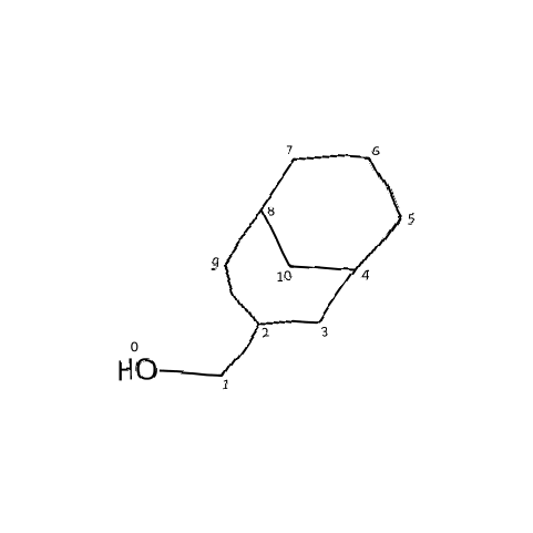 OCC1CC2CCCC(C1)C2